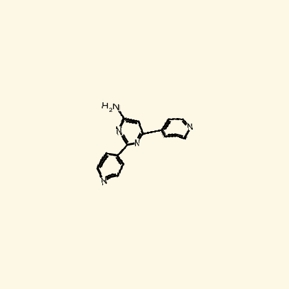 Nc1cc(-c2ccncc2)nc(-c2ccncc2)n1